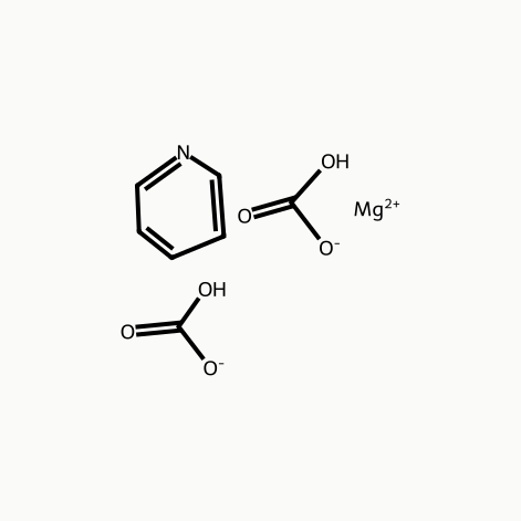 O=C([O-])O.O=C([O-])O.[Mg+2].c1ccncc1